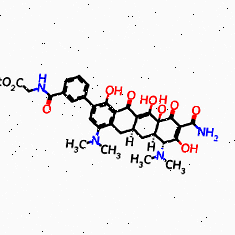 CCOC(=O)CNC(=O)c1cccc(-c2cc(N(C)C)c3c(c2O)C(=O)C2=C(O)[C@]4(O)C(=O)C(C(N)=O)=C(O)[C@H](N(C)C)[C@H]4C[C@H]2C3)c1